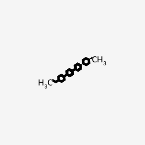 CCCC1CC=C(c2ccc(-c3ccc([C@H]4CC[C@H](CC)CC4)cc3)cc2)CC1